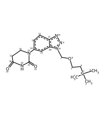 C[Si](C)(C)CCOCn1nnc2ccc(N3CCC(=O)NC3=O)cc21